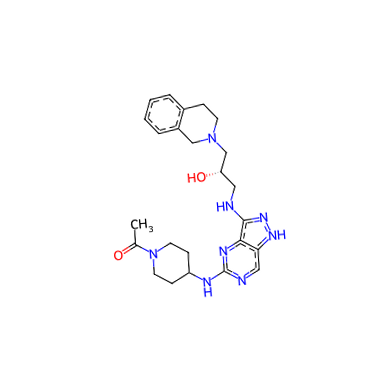 CC(=O)N1CCC(Nc2ncc3[nH]nc(NC[C@H](O)CN4CCc5ccccc5C4)c3n2)CC1